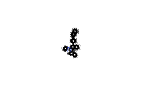 c1ccc(-n2c3ccc4ccccc4c3c3c4ccccc4c(-c4ccc(-c5ccc6ccccc6c5)cc4)cc32)cc1